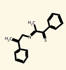 C=C(C/N=C(\C)C(=S)c1ccccc1)c1ccccc1